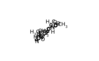 COc1ccc(NC(=O)c2ccc3[nH]c(CCCNC(=O)C(Cc4nccs4)NC(=O)OC(C)(C)C)cc3c2)cc1OC